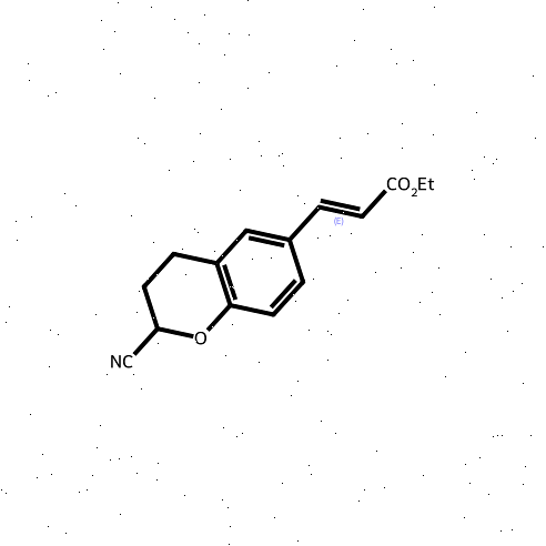 CCOC(=O)/C=C/c1ccc2c(c1)CCC(C#N)O2